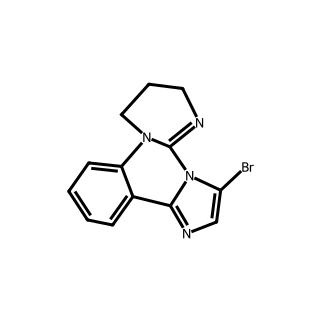 Brc1cnc2n1C1=NCCCN1c1ccccc1-2